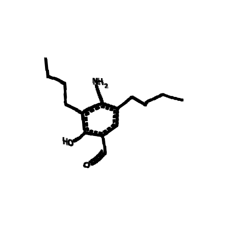 CCCCc1cc(C=O)c(O)c(CCCC)c1N